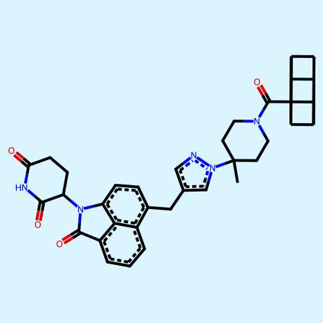 CC1(n2cc(Cc3ccc4c5c(cccc35)C(=O)N4C3CCC(=O)NC3=O)cn2)CCN(C(=O)C23C4C5C6C4C2C6C53)CC1